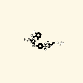 CCOC(=O)CCC(=O)NS(=O)(=O)c1ccc(Nc2nc(N)n(C(=O)c3c(C)cccc3F)n2)cc1